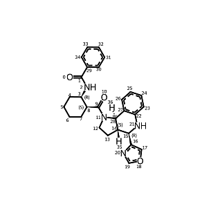 O=C(N[C@@H]1CCCC[C@@H]1C(=O)N1CC[C@H]2[C@H](c3cocn3)Nc3ccccc3[C@@H]21)c1ccccc1